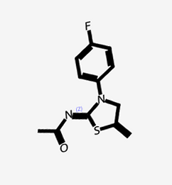 C=C1CN(c2ccc(F)cc2)/C(=N/C(C)=O)S1